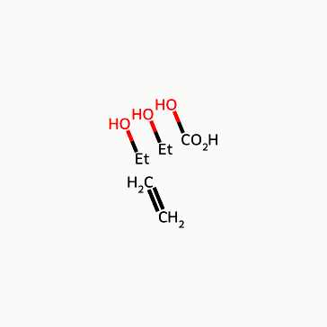 C=C.CCO.CCO.O=C(O)O